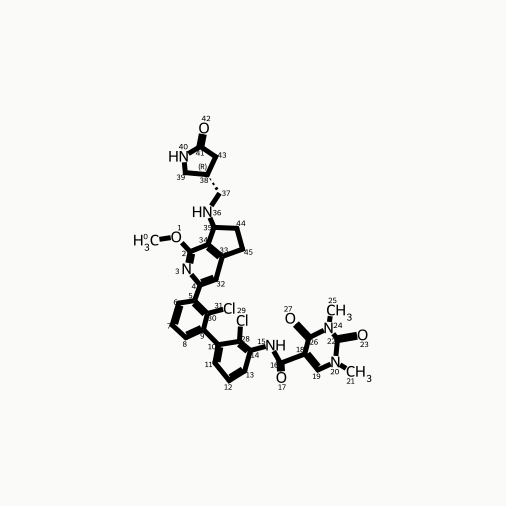 COc1nc(-c2cccc(-c3cccc(NC(=O)c4cn(C)c(=O)n(C)c4=O)c3Cl)c2Cl)cc2c1C(NC[C@@H]1CNC(=O)C1)CC2